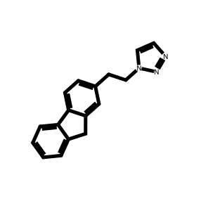 c1ccc2c(c1)Cc1cc(CCn3ccnn3)ccc1-2